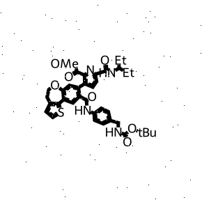 CCC(CC)NC(=O)c1ccc(-c2cc3c(cc2C(=O)Nc2ccc(CNC(=O)OC(C)(C)C)cc2)-c2sccc2CCO3)c(C(=O)OC)n1